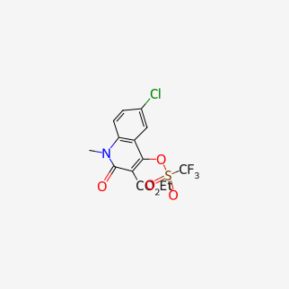 CCOC(=O)c1c(OS(=O)(=O)C(F)(F)F)c2cc(Cl)ccc2n(C)c1=O